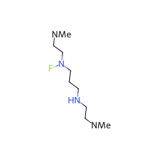 CNCCNCCCN(F)CCNC